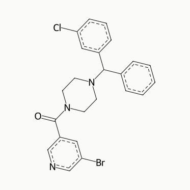 O=C(c1cncc(Br)c1)N1CCN(C(c2ccccc2)c2cccc(Cl)c2)CC1